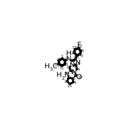 Cc1ccc(Nc2c(-c3ccc(F)cc3)nc3n2CCN(C(=O)[C@H]2CCC[C@H]2N)C3)cc1